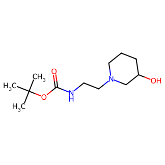 CC(C)(C)OC(=O)NCCN1CCCC(O)C1